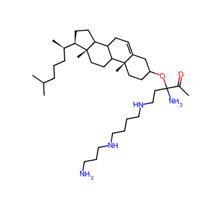 CC(=O)C(N)(CCNCCCCNCCCN)OC1CC[C@@]2(C)C(=CCC3C2CC[C@@]2(C)C3CC[C@@H]2[C@H](C)CCCC(C)C)C1